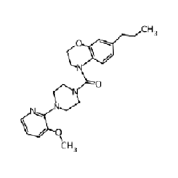 CCCc1ccc2c(c1)OCCN2C(=O)N1CCN(c2ncccc2OC)CC1